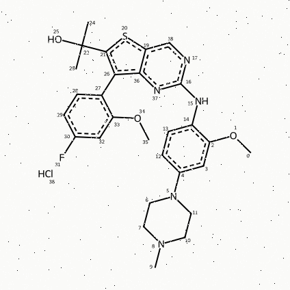 COc1cc(N2CCN(C)CC2)ccc1Nc1ncc2sc(C(C)(C)O)c(-c3ccc(F)cc3OC)c2n1.Cl